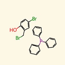 Oc1ccc(Br)cc1CBr.c1ccc(P(c2ccccc2)c2ccccc2)cc1